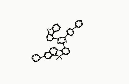 CC1(C)c2cccc(-c3nc(-c4ccc(-c5ccccc5)cc4)cc(-c4cccc5oc6ccccc6c45)n3)c2-c2ccc3cc(-c4ccccc4)ccc3c21